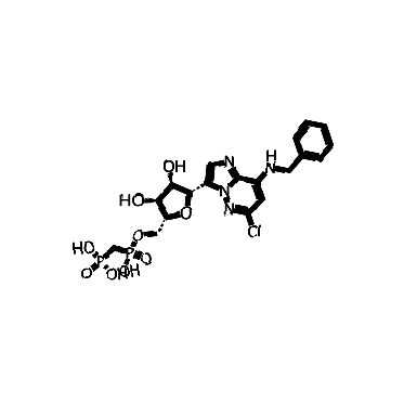 O=P(O)(O)CP(=O)(O)OC[C@H]1O[C@@H](c2cnc3c(NCc4ccccc4)cc(Cl)nn23)[C@H](O)[C@@H]1O